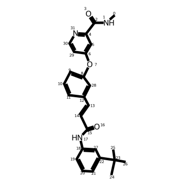 CNC(=O)c1cc(Oc2cccc(C=CC(=O)Nc3cccc(C(C)(C)C)c3)c2)ccn1